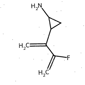 C=C(F)C(=C)C1CC1N